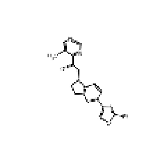 CCc1nc(-c2ccc3c(c2)CC[C@H]3CC(=O)c2ncncc2C)no1